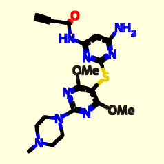 C#CC(=O)Nc1cc(N)nc(Sc2c(OC)nc(N3CCN(C)CC3)nc2OC)n1